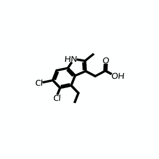 CCc1c(Cl)c(Cl)cc2[nH]c(C)c(CC(=O)O)c12